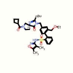 CCCCC1=N[C@@]2(CCN(C(=O)C3CCC3)C2)C(=O)N1Cc1ccc(-c2ccccc2S(=O)(=O)Nc2noc(C)c2C)c(COCC)c1